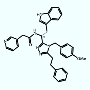 COc1ccc(Cn2c(CCc3ccccc3)nnc2[C@@H](Cc2c[nH]c3ccccc23)NC(=O)Cc2cccnc2)cc1